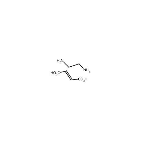 NCCN.O=C(O)C=CC(=O)O